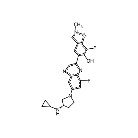 Cn1cc2cc(-c3cnc4cc(N5CC[C@@H](NC6CC6)C5)cc(F)c4n3)c(O)c(F)c2n1